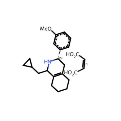 COc1cccc([C@@H]2CC3=C(CCCC3)C(CC3CC3)N2)c1.O=C(O)/C=C\C(=O)O